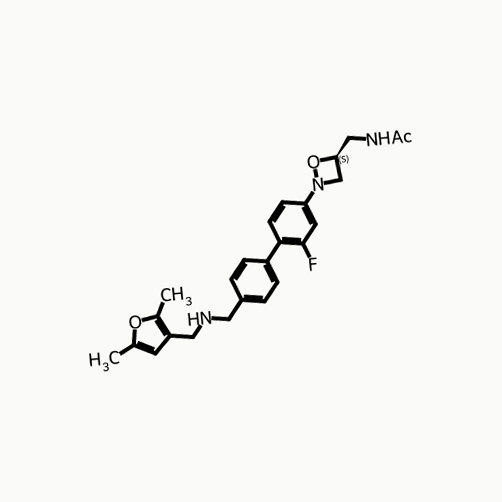 CC(=O)NC[C@H]1CN(c2ccc(-c3ccc(CNCc4cc(C)oc4C)cc3)c(F)c2)O1